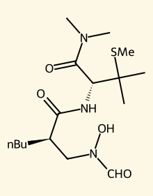 CCCC[C@H](CN(O)C=O)C(=O)N[C@H](C(=O)N(C)C)C(C)(C)SC